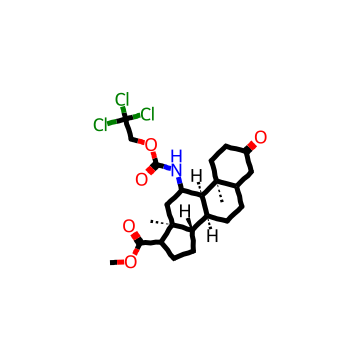 COC(=O)C1CC[C@H]2[C@@H]3CCC4CC(=O)CC[C@]4(C)[C@@H]3C(NC(=O)OCC(Cl)(Cl)Cl)C[C@]12C